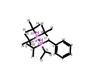 CC(C)[PH](Cc1ccccc1)(C(C)C)[PH](C(C)(C)C)(C(C)(C)C)C(C)(C)C